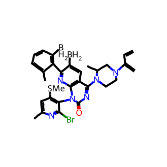 Bc1cc2c(N3CCN(C(=C)C=C)CC3C)nc(=O)n(-c3c(SC)cc(C)nc3Br)c2nc1-c1c(B)cccc1C